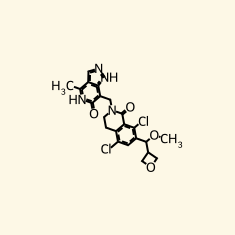 COC(c1cc(Cl)c2c(c1Cl)C(=O)N(Cc1c(=O)[nH]c(C)c3cn[nH]c13)CC2)C1COC1